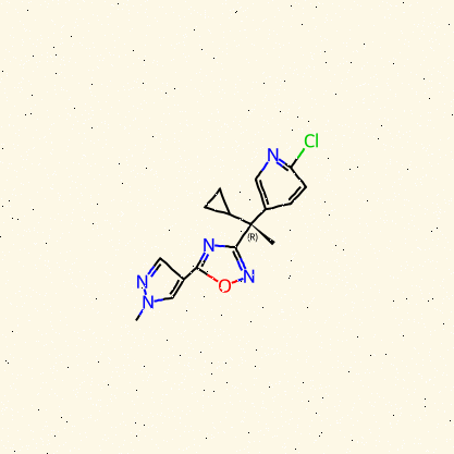 Cn1cc(-c2nc([C@@](C)(c3ccc(Cl)nc3)C3CC3)no2)cn1